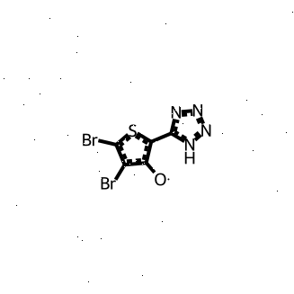 [O]c1c(-c2nnn[nH]2)sc(Br)c1Br